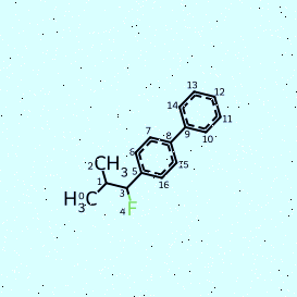 CC(C)C(F)c1ccc(-c2ccccc2)cc1